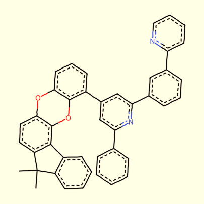 CC1(C)c2ccccc2-c2c1ccc1c2Oc2c(cccc2-c2cc(-c3ccccc3)nc(-c3cccc(-c4ccccn4)c3)c2)O1